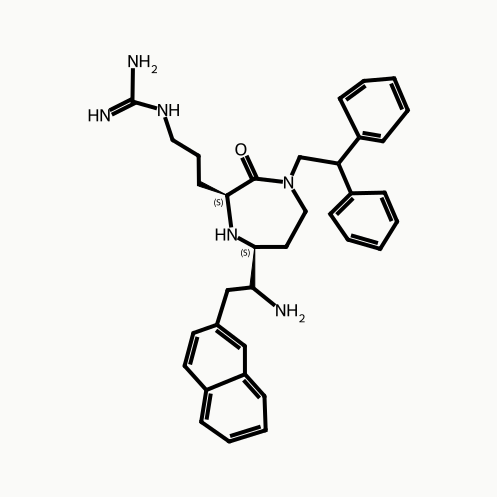 N=C(N)NCCC[C@@H]1N[C@H](C(N)Cc2ccc3ccccc3c2)CCN(CC(c2ccccc2)c2ccccc2)C1=O